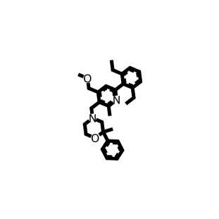 CCc1cccc(CC)c1-c1cc(COC)c(CN2CCOC(C)(c3ccccc3)C2)c(C)n1